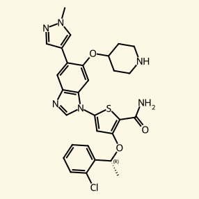 C[C@@H](Oc1cc(-n2cnc3cc(-c4cnn(C)c4)c(OC4CCNCC4)cc32)sc1C(N)=O)c1ccccc1Cl